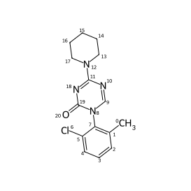 Cc1cccc(Cl)c1-n1cnc(N2CCCCC2)nc1=O